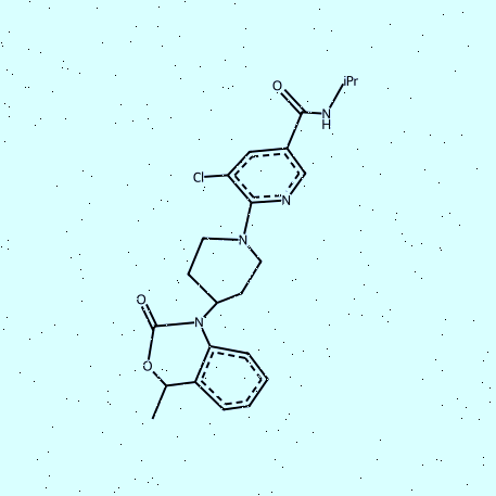 CC(C)NC(=O)c1cnc(N2CCC(N3C(=O)OC(C)c4ccccc43)CC2)c(Cl)c1